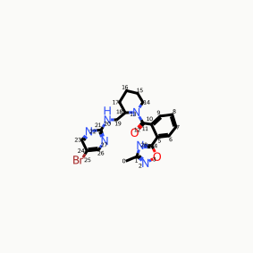 Cc1noc(-c2ccccc2C(=O)N2CCCCC2CNc2ncc(Br)cn2)n1